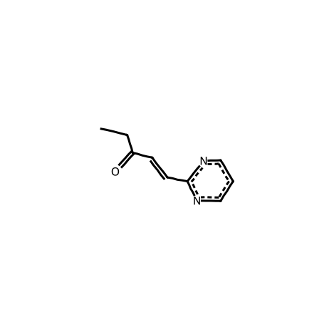 CCC(=O)/C=C/c1ncccn1